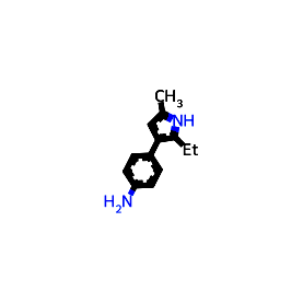 CCc1[nH]c(C)cc1-c1ccc(N)cc1